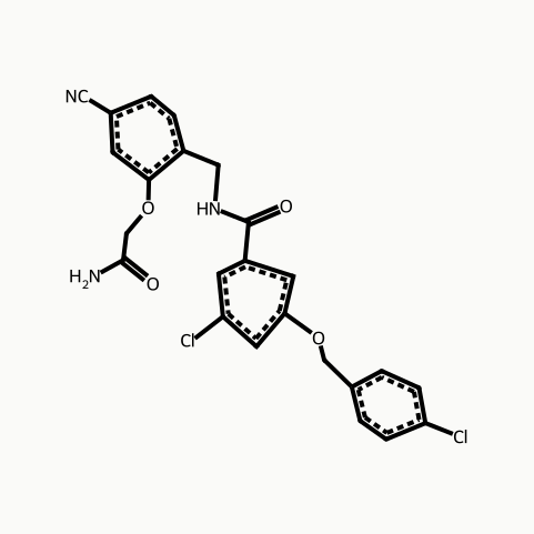 N#Cc1ccc(CNC(=O)c2cc(Cl)cc(OCc3ccc(Cl)cc3)c2)c(OCC(N)=O)c1